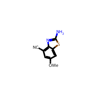 COc1cc(C#N)c2nc(N)sc2c1